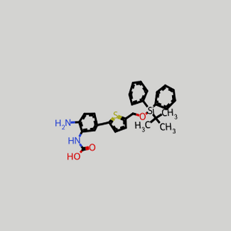 CC(C)(C)[Si](OCc1ccc(-c2ccc(N)c(NC(=O)O)c2)s1)(c1ccccc1)c1ccccc1